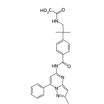 Cc1cc2nc(NC(=O)c3ccc(C(C)(C)CNC(=O)C(=O)O)cc3)cc(-c3ccccc3)n2n1